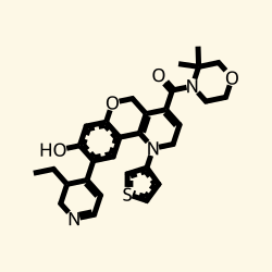 CCC1CN=CC=C1c1cc2c(cc1O)OCC1=C2N(c2ccsc2)CC=C1C(=O)N1CCOCC1(C)C